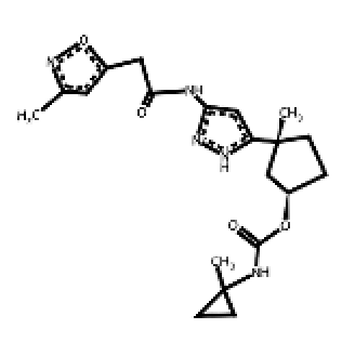 Cc1cc(CC(=O)Nc2cc([C@]3(C)CC[C@@H](OC(=O)NC4(C)CC4)C3)[nH]n2)on1